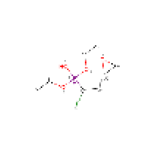 CCO[PH](O)(OCC)C(F)C[C@H]1CO1